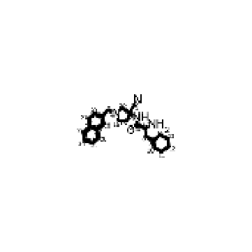 N#CC1(NC(=O)C(N)CC2CCCCC2)CCN(Cc2ccc3ccccc3c2)C1